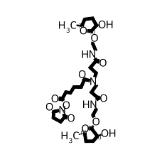 C[C@H]1CC[C@H](O)[C@H](OCCNC(=O)CCN(CCC(=O)NCCO[C@@H]2O[C@@H](C)CC[C@@H]2O)C(=O)CCCCC(=O)ON2C(=O)CCC2=O)O1